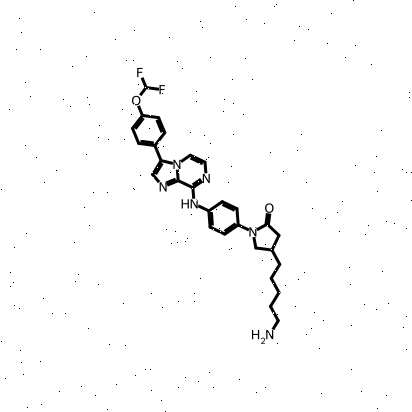 NCCCCCC1CC(=O)N(c2ccc(Nc3nccn4c(-c5ccc(OC(F)F)cc5)cnc34)cc2)C1